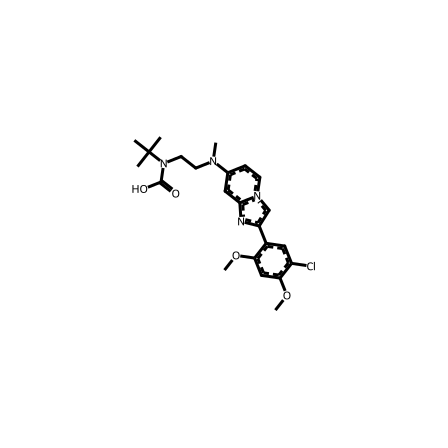 COc1cc(OC)c(-c2cn3ccc(N(C)CCN(C(=O)O)C(C)(C)C)cc3n2)cc1Cl